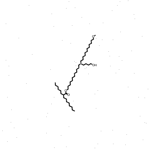 CCCCCCCCC(CCCCCC)C(=O)OCCCCCCCCCCCCN(CCCCO)CCCCCCCCCCCCOC